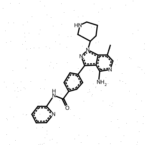 Cc1cnc(N)c2c(-c3ccc(C(=O)Nc4ccccn4)cc3)nn(C3CCCNC3)c12